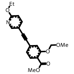 CCOc1ccc(C#Cc2ccc(C(=O)OC)c(OCOC)c2)cn1